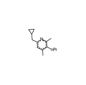 CCCc1c(C)[c]c(CC2CC2)nc1C